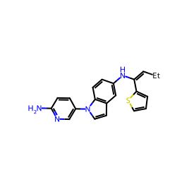 CCC=C(Nc1ccc2c(ccn2-c2ccc(N)nc2)c1)c1cccs1